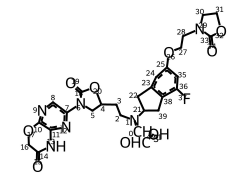 CN(CCC1CN(c2cnc3c(n2)NC(=O)CO3)C(=O)O1)C1Cc2cc(OCCN3CCOC3=O)cc(F)c2C1.O=CO